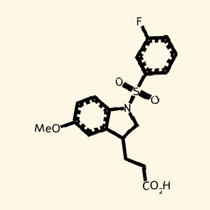 COc1ccc2c(c1)C(CCC(=O)O)CN2S(=O)(=O)c1cccc(F)c1